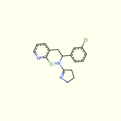 Clc1cccc(C(Cc2cccnc2Cl)NC2=NCCC2)c1